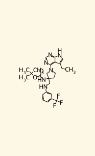 CCc1c[nH]c2ncnc(N3CCC(CNc4cccc(C(F)(F)F)c4)(NC(=O)OC(C)(C)C)C3)c12